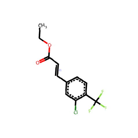 CCOC(=O)/C=C/c1ccc(C(F)(F)F)c(Cl)c1